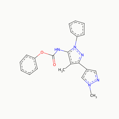 Cc1c(-c2cnn(C)c2)nn(-c2ccccc2)c1NC(=O)Oc1ccccc1